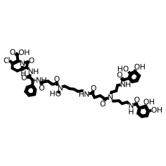 O=C(CCC(=O)N(CCCCNC(=O)c1cccc(O)c1O)CCCNC(=O)c1cccc(O)c1O)NCCCCCN(O)C(=O)CCC(=O)N[C@@H](C(=O)NC1C(=O)N2C(C(=O)O)=C(Cl)CC[C@H]12)c1ccccc1